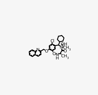 CC1NOc2cc(c(Cl)cc2OCc2ccc3ccccc3n2)C(C2CCCCC2)[N+](C)(O)C1=O